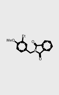 CCc1cc(CN2C(=O)c3ccccc3C2=O)ccc1OC